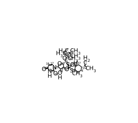 C=C(C)[C@@H]1CC[C@]2(C)SP(=S)(O[C@H]3[C@@H](O)[C@H](n4ccc(=O)[nH]c4=O)O[C@@H]3CO[Si](C)(C)C(C)(C)C)O[C@H]2C1